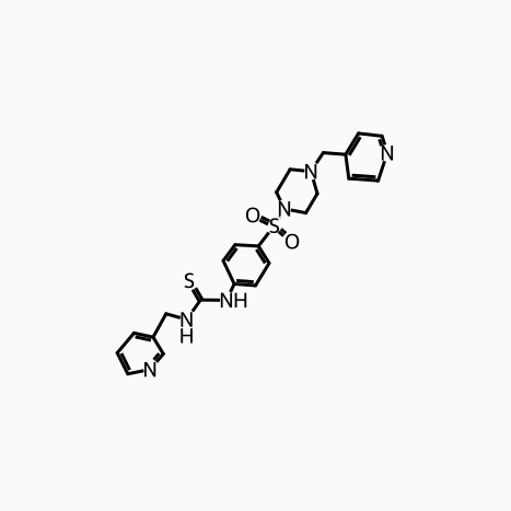 O=S(=O)(c1ccc(NC(=S)NCc2cccnc2)cc1)N1CCN(Cc2ccncc2)CC1